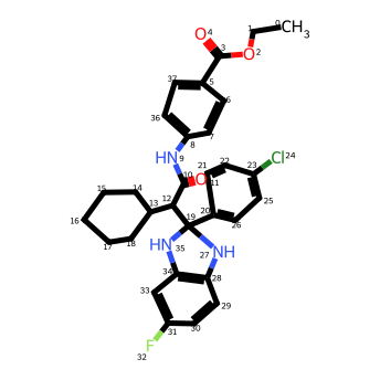 CCOC(=O)c1ccc(NC(=O)C(C2CCCCC2)C2(c3ccc(Cl)cc3)Nc3ccc(F)cc3N2)cc1